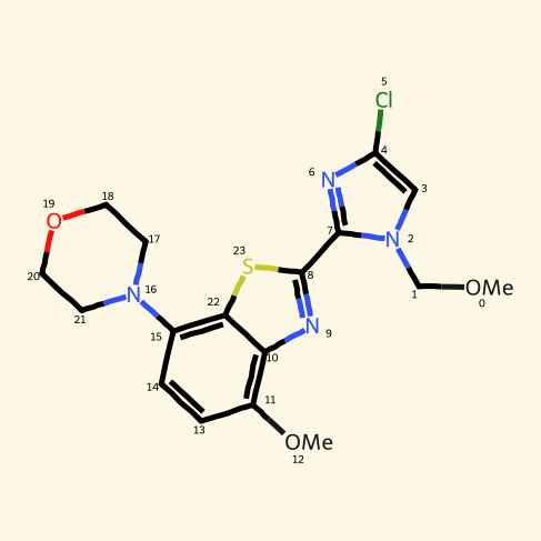 COCn1cc(Cl)nc1-c1nc2c(OC)ccc(N3CCOCC3)c2s1